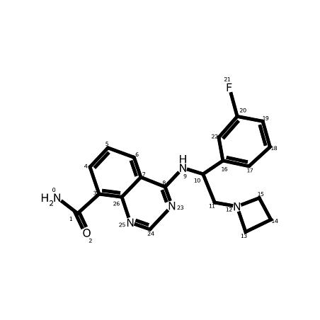 NC(=O)c1cccc2c(NC(CN3CCC3)c3cccc(F)c3)ncnc12